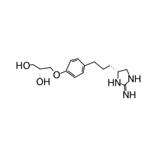 N=C1NC[C@@H](CCCc2ccc(OC[C@H](O)CO)cc2)N1